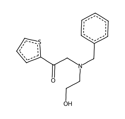 O=C(CN(CCO)Cc1ccccc1)c1cccs1